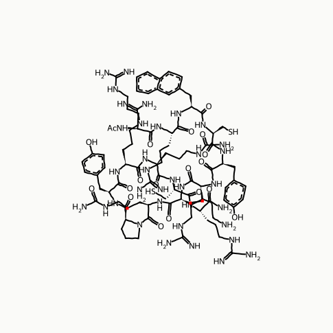 CC(=O)N[C@@H](CCCNC(=N)N)C(=O)N[C@@H](CCCNC(=N)N)C(=O)N[C@@H](Cc1ccc2ccccc2c1)C(=O)N[C@@H](CS)C(=O)N[C@@H](Cc1ccc(O)cc1)C(=O)N[C@@H](CCCNC(=N)N)C(=O)N[C@@H](CCCCN)C(=O)N[C@H](CCCNC(N)=O)C(=O)N1CCC[C@H]1C(=O)N[C@@H](Cc1ccc(O)cc1)C(=O)N[C@@H](CCCNC(=N)N)C(=O)N[C@@H](CCCNC(N)=O)C(=O)N[C@@H](CS)C(=O)N[C@@H](CCCNC(=N)N)C(N)=O